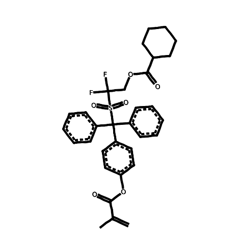 C=C(C)C(=O)Oc1ccc(C(c2ccccc2)(c2ccccc2)S(=O)(=O)C(F)(F)COC(=O)C2CCCCC2)cc1